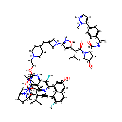 CC(C)[C@@H](C(=O)N1C[C@H](O)C[C@H]1C(=O)N[C@@H](C)c1ccc(-c2ccnn2C)cc1)c1cc(N2CC(CC3CCN(CCOc4nc(N5CC6CCC(C5)N6C(=O)OC(C)(C)C)c5cnc(-c6cc(O)cc7ccc(F)c(C#C[Si](C(C)C)(C(C)C)C(C)C)c67)c(F)c5n4)CC3)C2)no1